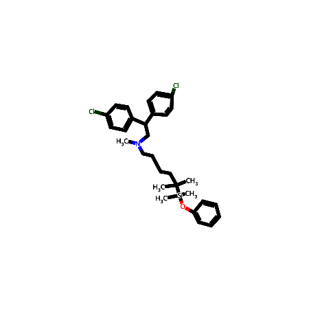 CN(CCCCC(C)(C)[Si](C)(C)Oc1ccccc1)CC(c1ccc(Cl)cc1)c1ccc(Cl)cc1